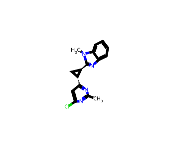 Cc1nc(Cl)cc([C@@H]2C[C@H]2c2nc3ccccc3n2C)n1